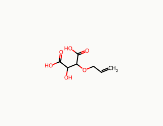 C=CCOC(C(=O)O)C(O)C(=O)O